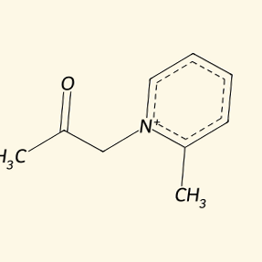 CC(=O)C[n+]1ccccc1C